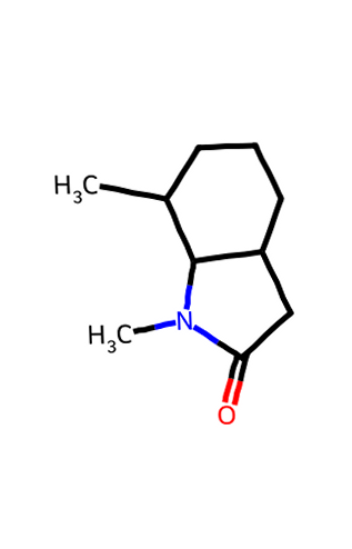 CC1CCCC2CC(=O)N(C)C12